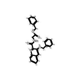 O=C(CNC(=O)c1nc2ccccc2cc1OCc1ccccc1)OCc1ccccc1